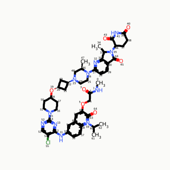 CNC(=O)COc1cc2cc(Nc3nc(N4CCC(O[C@H]5C[C@H](N6CCN(c7ccc8c(n7)C(C)N(C7CCC(=O)NC7=O)C8=O)[C@H](C)C6)C5)CC4)ncc3Cl)ccc2n(C(C)C)c1=O